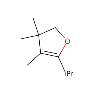 CC1=C(C(C)C)OCC1(C)C